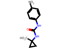 O=C(Nc1ccc([N+](=O)[O-])cc1)NC1(C(=O)O)CC1